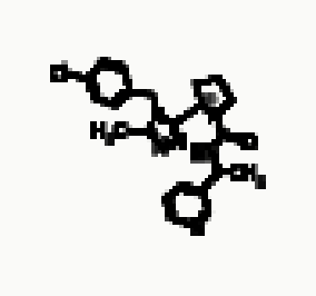 Cc1nnc([C@H]2CCCN2C(=O)NC(C)c2cccnc2)n1Cc1ccc(Cl)cc1